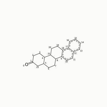 O=C1CCC2C(CCC3c4ccc5ccccc5c4CCC32)C1